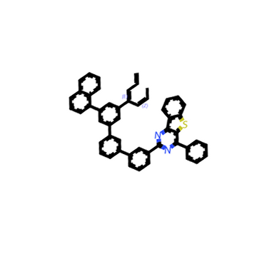 C=C/C=C(\C=C/C)c1cc(-c2cccc(-c3cccc(-c4nc(-c5ccccc5)c5sc6ccccc6c5n4)c3)c2)cc(-c2cccc3ccccc23)c1